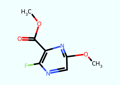 COC(=O)c1nc(OC)cnc1F